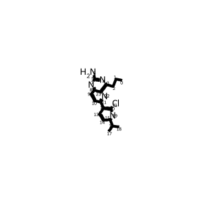 CCCc1nc(N)nc2ccc(-c3ccc(C(C)C)nc3Cl)nc12